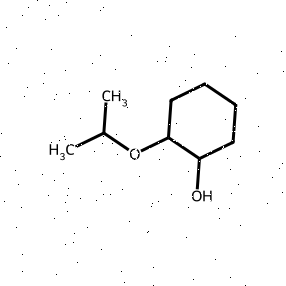 CC(C)OC1CCCCC1O